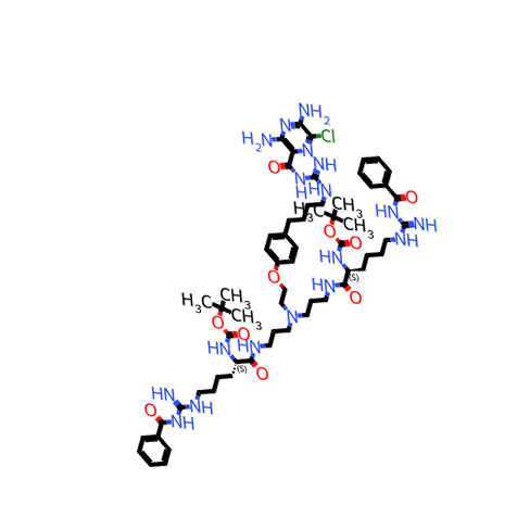 CC(C)(C)OC(=O)N[C@@H](CCCCNC(=N)NC(=O)c1ccccc1)C(=O)NCCCN(CCCNC(=O)[C@H](CCCCNC(=N)NC(=O)c1ccccc1)NC(=O)OC(C)(C)C)CCOc1ccc(CCCCNC(=N)NC(=O)c2nc(Cl)c(N)nc2N)cc1